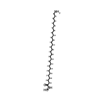 NCCCCCCCCCCCCCCCCCCCCCCCCCCCCCCC(=O)NO